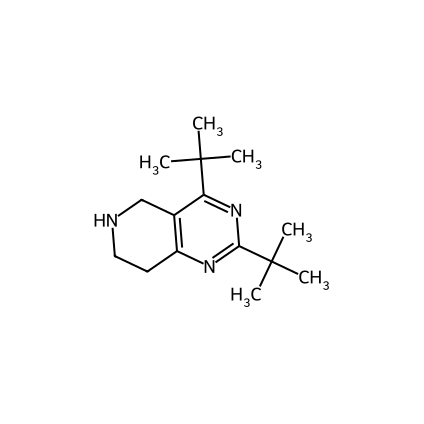 CC(C)(C)c1nc2c(c(C(C)(C)C)n1)CNCC2